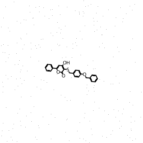 O=c1oc(-c2ccccc2)cc(O)c1SCc1ccc(OCc2ccccc2)cc1